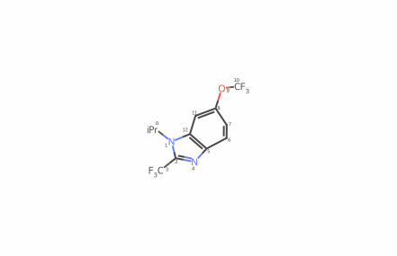 CC(C)n1c(C(F)(F)F)nc2ccc(OC(F)(F)F)cc21